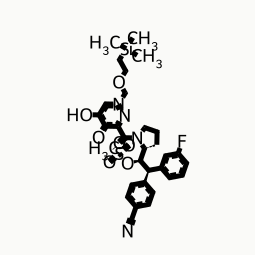 C[Si](C)(C)CCOCn1cc(O)c(=O)c(C(=O)N2CCC[C@@H]2[C@H](OS(C)(=O)=O)[C@H](c2ccc(C#N)cc2)c2cccc(F)c2)n1